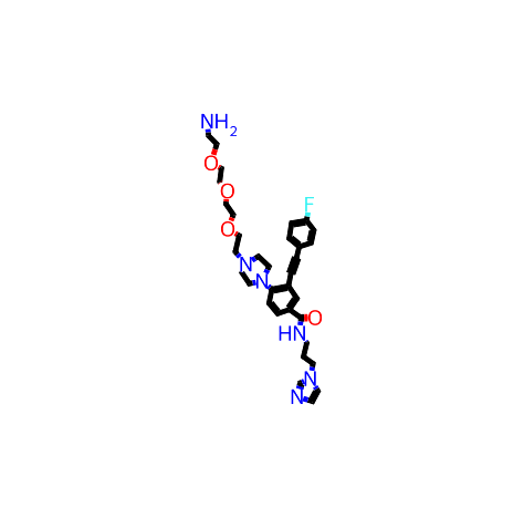 NCCOCCOCCOCCN1CCN(c2ccc(C(=O)NCCCn3ccnc3)cc2C#Cc2ccc(F)cc2)CC1